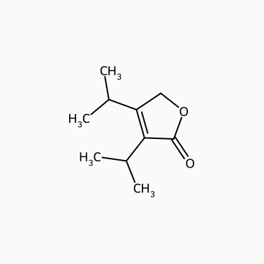 CC(C)C1=C(C(C)C)C(=O)OC1